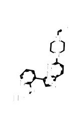 COc1ncccc1-c1cnc2ccc(N3CCN(C=O)CC3)nn12